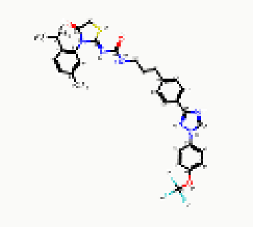 Cc1ccc(C(C)C)c(N2C(=O)CSC2=NC(=O)NCCCc2ccc(-c3ncn(-c4ccc(OC(F)(F)F)cc4)n3)cc2)c1